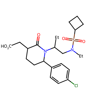 CCC(CN(CC)S(=O)(=O)C1CCC1)N1C(=O)C(CC(=O)O)CCC1c1ccc(Cl)cc1